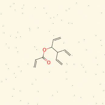 C=CC(=O)OC(C=C)C(C=C)C=C